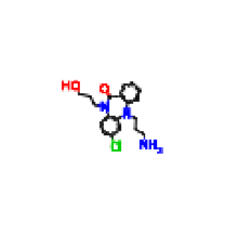 NCCCN1c2ccccc2C(=O)N(CCCO)c2ccc(Cl)cc21